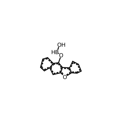 OBOc1c2ccccc2cc2oc3ccccc3c12